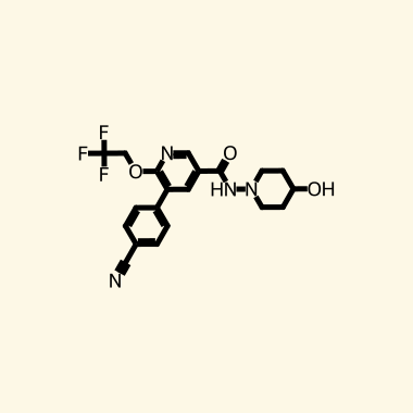 N#Cc1ccc(-c2cc(C(=O)NN3CCC(O)CC3)cnc2OCC(F)(F)F)cc1